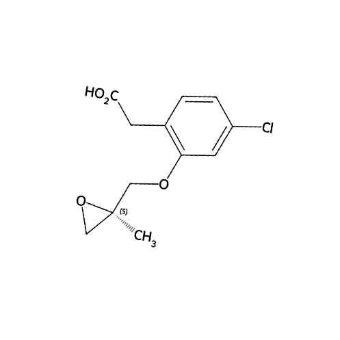 C[C@]1(COc2cc(Cl)ccc2CC(=O)O)CO1